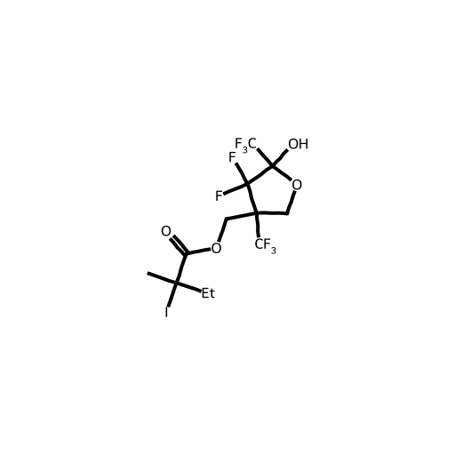 CCC(C)(I)C(=O)OCC1(C(F)(F)F)COC(O)(C(F)(F)F)C1(F)F